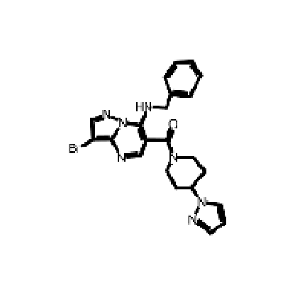 O=C(c1cnc2c(Br)cnn2c1NCc1ccccc1)N1CCC(n2cccn2)CC1